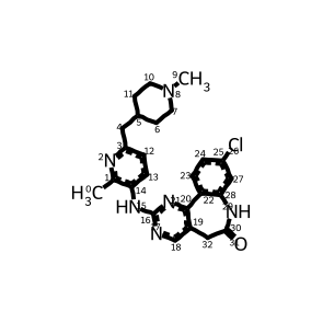 Cc1nc(CC2CCN(C)CC2)ccc1Nc1ncc2c(n1)-c1ccc(Cl)cc1NC(=O)C2